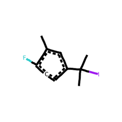 Cc1cc(C(C)(C)I)ccc1F